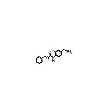 NCc1ccc(NC(=O)OCc2ccccc2)c(F)c1